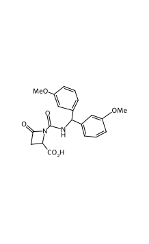 COc1cccc(C(NC(=O)N2C(=O)CC2C(=O)O)c2cccc(OC)c2)c1